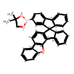 CC1(C)COB(c2ccc3c(c2)C2(c4ccccc4-3)c3ccccc3-c3c2ccc2c3oc3ccccc32)O1